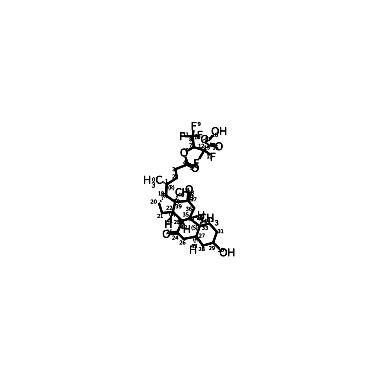 C[C@H](CCC(=O)OC(C(F)(F)F)C(F)(F)S(=O)(=O)O)[C@H]1CC[C@H]2[C@@H]3C(=O)C[C@@H]4CC(O)CC[C@]4(C)[C@H]3CC(=O)[C@]12C